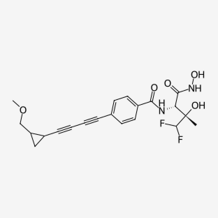 COCC1CC1C#CC#Cc1ccc(C(=O)N[C@H](C(=O)NO)[C@](C)(O)C(F)F)cc1